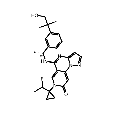 C[C@@H](Nc1nc2ccnn2c2cc(=O)n(C3(C(F)F)CC3)cc12)c1cccc(C(F)(F)CO)c1